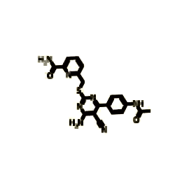 CC(=O)Nc1ccc(-c2nc(SCc3cccc(C(N)=O)n3)nc(N)c2C#N)cc1